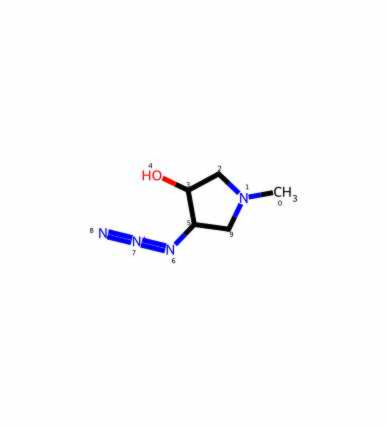 CN1CC(O)C(N=[N+]=[N-])C1